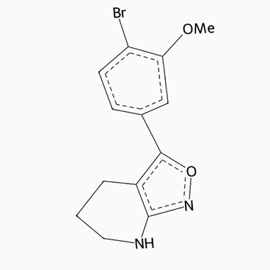 COc1cc(-c2onc3c2CCCN3)ccc1Br